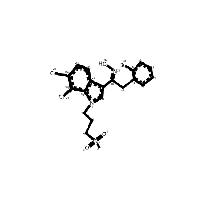 CS(=O)(=O)CCCn1cc(C(Cc2ccccc2Br)=NO)c2ccc(Cl)c(Cl)c21